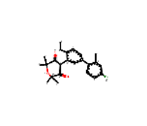 CCc1ccc(-c2ccc(Cl)cc2C)cc1C1C(=O)C(C)(C)OC(C)(C)C1=O